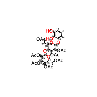 CC(=O)OC[C@H]1O[C@H](O[C@H]2[C@H](OC(C)=O)[C@@H](OC(C)=O)[C@H](Oc3cccc(O)c3O)O[C@@H]2COC(C)=O)[C@H](OC(C)=O)[C@@H](OC(C)=O)[C@@H]1OC(C)=O